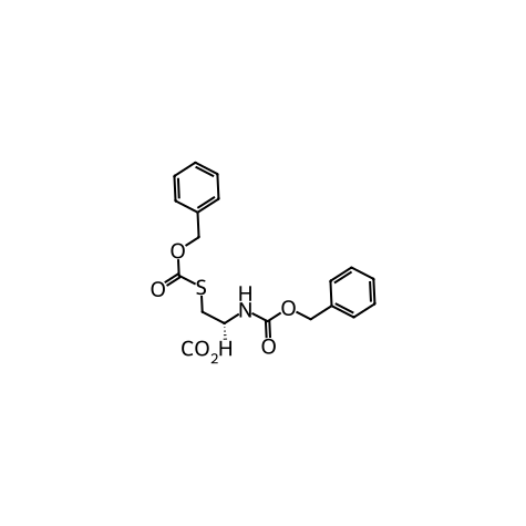 O=C(N[C@@H](CSC(=O)OCc1ccccc1)C(=O)O)OCc1ccccc1